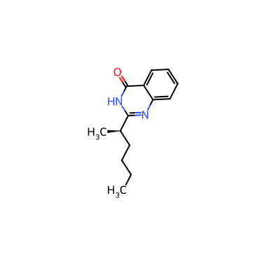 CCCC[C@@H](C)c1nc2ccccc2c(=O)[nH]1